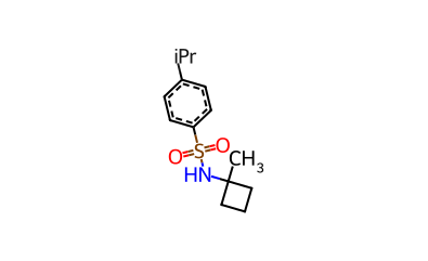 CC(C)c1ccc(S(=O)(=O)NC2(C)CCC2)cc1